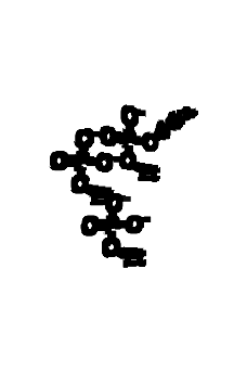 CCOP(=O)([O-])[O-].CCOP(=O)([O-])[O-].CCOP(=O)([O-])[O-].[Al+3].[Al+3]